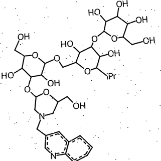 CC(C)C1OC(COC2OC(CO)C(O)C(OC3CN(Cc4cnc5ccccc5c4)CC(CO)O3)C2O)C(O)C(OC2OC(CO)C(O)C(O)C2O)C1O